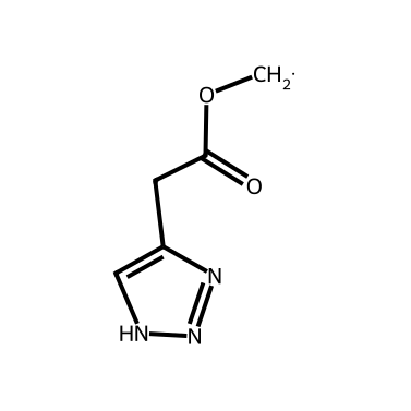 [CH2]OC(=O)Cc1c[nH]nn1